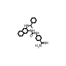 CC(Nc1cc2ccccc2cc1NC(=O)Nc1ccc(C(=N)N)cc1)c1ccccc1